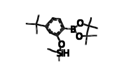 C[SiH](C)Oc1cc(C(C)(C)C)ccc1B1OC(C)(C)C(C)(C)O1